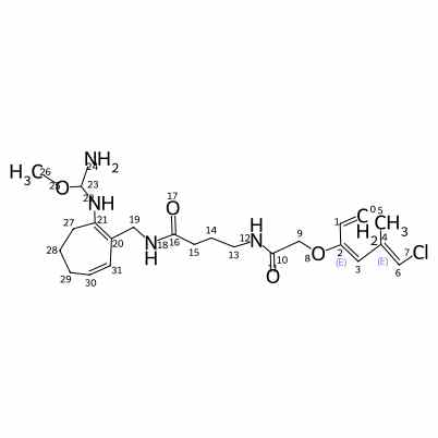 C=C/C(=C\C(C)=C\Cl)OCC(=O)NCCCC(=O)NCC1=C(NC(N)OC)CCCC=C1